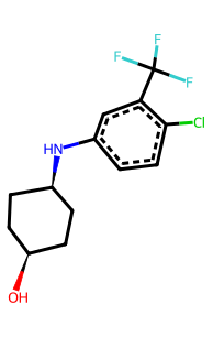 O[C@H]1CC[C@@H](Nc2ccc(Cl)c(C(F)(F)F)c2)CC1